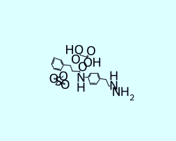 CS(=O)(=O)Oc1ccccc1CCC(=O)Nc1ccc(CCNN)cc1.O=C(O)C(=O)O